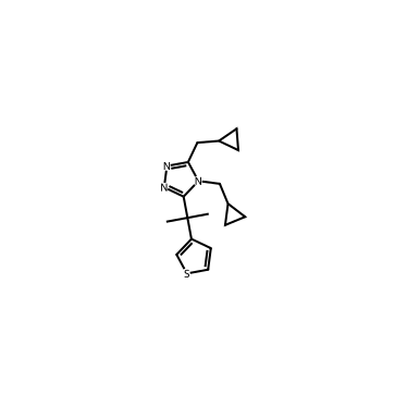 CC(C)(c1ccsc1)c1nnc(CC2CC2)n1CC1CC1